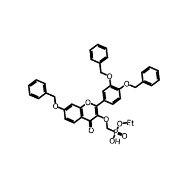 CCOP(=O)(O)COc1c(-c2ccc(OCc3ccccc3)c(OCc3ccccc3)c2)oc2cc(OCc3ccccc3)ccc2c1=O